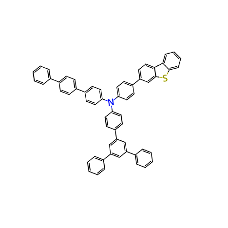 c1ccc(-c2ccc(-c3ccc(N(c4ccc(-c5cc(-c6ccccc6)cc(-c6ccccc6)c5)cc4)c4ccc(-c5ccc6c(c5)sc5ccccc56)cc4)cc3)cc2)cc1